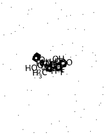 C[C@@H]1C[C@H]2[C@@H]3C[C@H](F)C4=CC(=O)C=C[C@]4(C)[C@@]3(F)[C@@H](O)C[C@]2(C)[C@@]1(OC(=O)OC12CCC(CC1)C2)C(=O)O